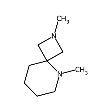 CN1CC2(CCCCN2C)C1